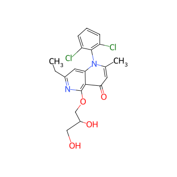 CCc1cc2c(c(OCC(O)CO)n1)c(=O)cc(C)n2-c1c(Cl)cccc1Cl